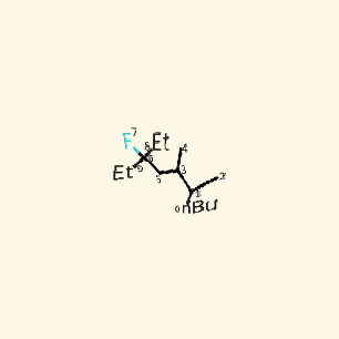 CCCCC(C)C(C)CC(F)(CC)CC